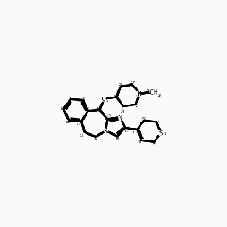 CN1CCC(OC2c3ccccc3CCn3cc(C4=CCSCC4)nc32)CC1